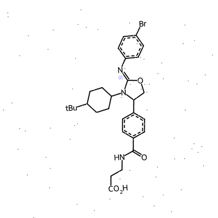 CC(C)(C)C1CCC(N2/C(=N/c3ccc(Br)cc3)OCC2c2ccc(C(=O)NCCC(=O)O)cc2)CC1